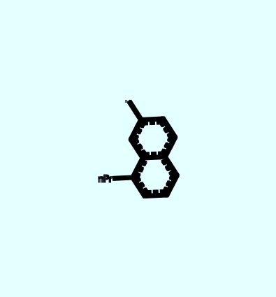 [CH2]c1ccc2cccc(CCC)c2c1